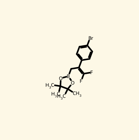 CC1(C)OB(CC(=C(F)F)c2ccc(Br)cc2)OC1(C)C